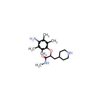 CNC(=O)C(CC1CCNCC1)Oc1c(C)c(C)c(N)c(C)c1C